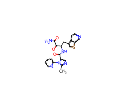 Cc1ncc(C(=O)NC(Cc2csc3cnccc23)C(=O)C(N)=O)n1-c1ccccn1